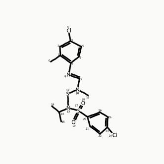 Cc1cc(Cl)ccc1/N=C/N(C)SN(C(C)C)S(=O)(=O)c1ccc(Cl)cc1